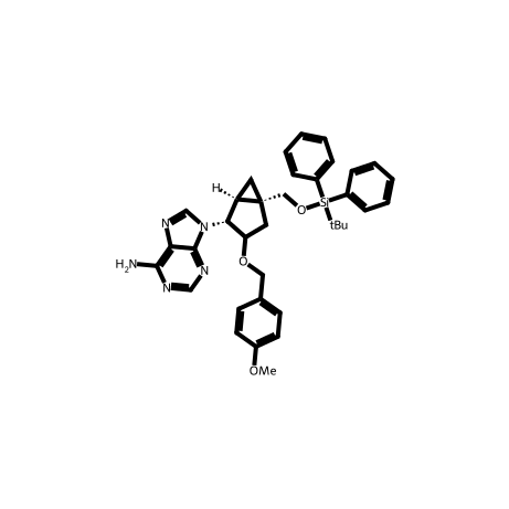 COc1ccc(COC2C[C@]3(CO[Si](c4ccccc4)(c4ccccc4)C(C)(C)C)C[C@@H]3[C@H]2n2cnc3c(N)ncnc32)cc1